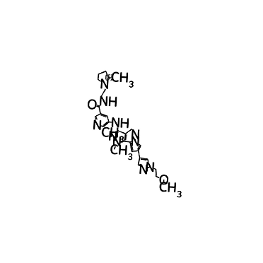 COCCn1cc(-c2cc3c4c(cnn3c2)c(Nc2cc(C(=O)NCCN3CCC[C@@H]3C)cnc2C)nn4C)cn1